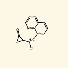 Cc1cccc2cccnc12.O=C1CC1CCl